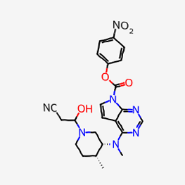 C[C@@H]1CCN(C(O)CC#N)C[C@@H]1N(C)c1ncnc2c1ccn2C(=O)Oc1ccc([N+](=O)[O-])cc1